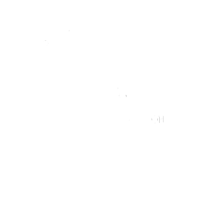 CCC(C(=O)O)=C1CCCc2cc(OC)ccc21